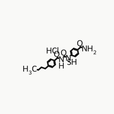 CCCCc1ccc(C(=O)NC(=O)N(S)c2ccc(C(N)=O)cc2)cc1.Cl